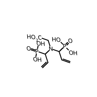 C=CC(N(CC(=O)O)C(C=C)P(=O)(O)O)P(=O)(O)O